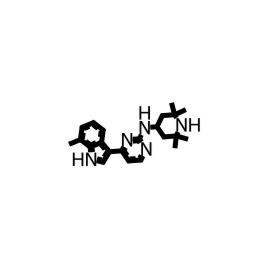 Cc1cccc2c(-c3ccnc(NC4CC(C)(C)NC(C)(C)C4)n3)c[nH]c12